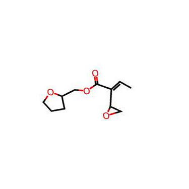 CC=C(C(=O)OCC1CCCO1)C1CO1